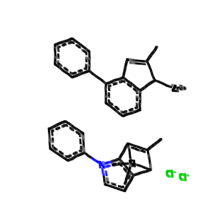 CC1=C2c3c(ccn3-c3ccccc3)C1[Si]2(C)C.CC1=Cc2c(-c3ccccc3)cccc2[CH]1[Zr+2].[Cl-].[Cl-]